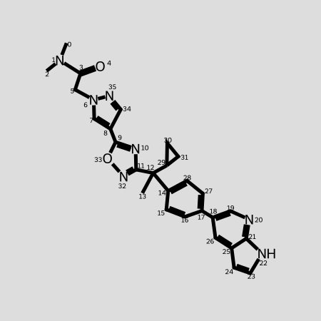 CN(C)C(=O)Cn1cc(-c2nc(C(C)(c3ccc(-c4cnc5[nH]ccc5c4)cc3)C3CC3)no2)cn1